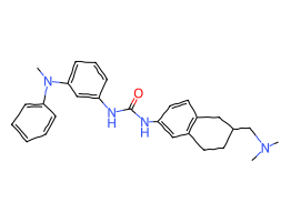 CN(C)CC1CCc2cc(NC(=O)Nc3cccc(N(C)c4ccccc4)c3)ccc2C1